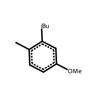 CCC(C)c1cc(OC)ccc1C